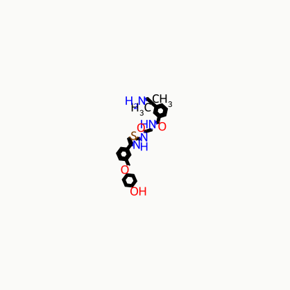 CC(C)(CN)c1cccc(C(=O)NCC(=O)Nc2nc(-c3cccc(CO[C@H]4CC[C@H](O)CC4)c3)cs2)c1